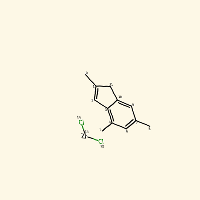 CC1=Cc2c(C)cc(C)cc2C1.[Cl][Zr][Cl]